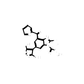 CCOc1nc2c(C(=O)c3ccccn3)cc(-c3c(C)noc3C)cc2n1C(=O)OC(C)(C)C